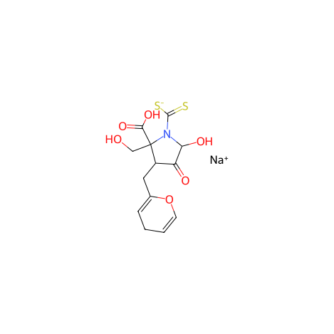 O=C1C(O)N(C(=S)[S-])C(CO)(C(=O)O)C1CC1=CCC=CO1.[Na+]